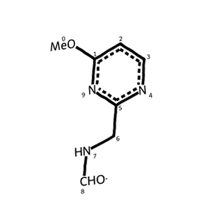 COc1ccnc(CN[C]=O)n1